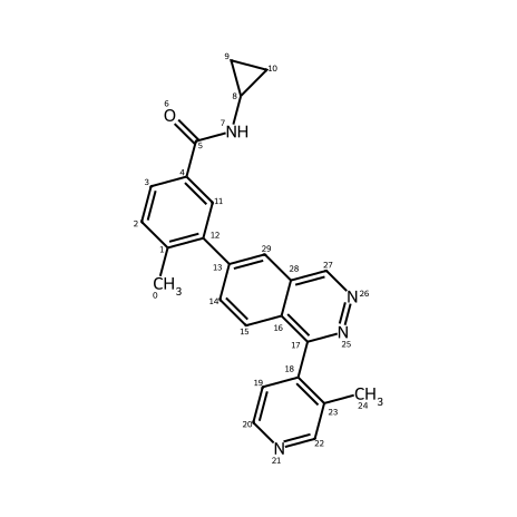 Cc1ccc(C(=O)NC2CC2)cc1-c1ccc2c(-c3ccncc3C)nncc2c1